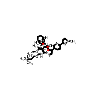 C=C(OCC)c1c([C@@H]2C[C@H]3CC[C@@H](C2)N3C(=O)OC(C)(C)C)nc2c(-c3ccc(-c4ccn(C)n4)nc3)cnn2c1NCOCC[Si](C)(C)C